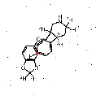 [2H]C1([2H])C[C@@]([2H])(c2ccc(F)cc2)C([2H])(COc2ccc3c(c2)OC([2H])([2H])O3)CN1